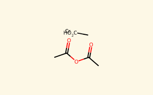 CC(=O)O.CC(=O)OC(C)=O.[Cr]